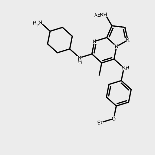 CCOc1ccc(Nc2c(C)c(NC3CCC(N)CC3)nc3c(NC(C)=O)cnn23)cc1